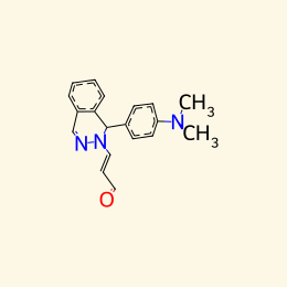 CN(C)c1ccc(C2c3ccccc3C=NN2C=CC=O)cc1